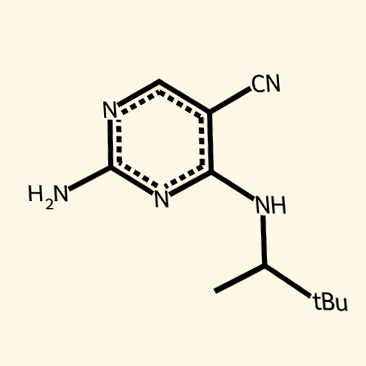 CC(Nc1nc(N)ncc1C#N)C(C)(C)C